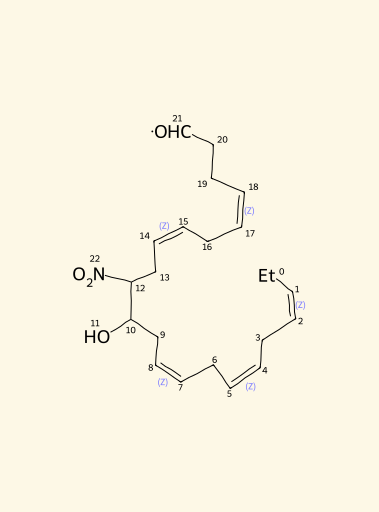 CC/C=C\C/C=C\C/C=C\CC(O)C(C/C=C\C/C=C\CC[C]=O)[N+](=O)[O-]